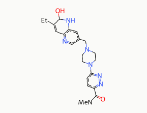 CCC1=Cc2ncc(CN3CCN(c4ccc(C(=O)NC)nn4)CC3)cc2NC1O